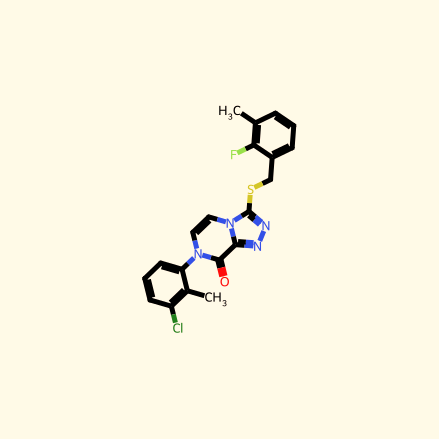 Cc1cccc(CSc2nnc3c(=O)n(-c4cccc(Cl)c4C)ccn23)c1F